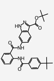 CC(C)(C)OC(=O)c1n[nH]c2cc(NC(=O)c3ccccc3NC(=O)c3ccc(C(C)(C)C)cc3)ccc12